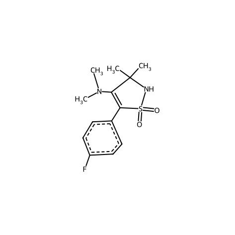 CN(C)C1=C(c2ccc(F)cc2)S(=O)(=O)NC1(C)C